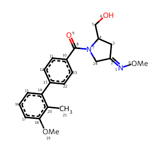 CO/N=C1\CC(CO)N(C(=O)c2ccc(-c3cccc(OC)c3C)cc2)C1